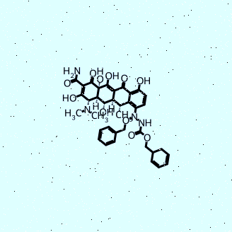 C[C@H]1c2c(N(NC(=O)OCC3C=CC=CC3)OCc3ccccc3)ccc(O)c2C(=O)C2=C(O)[C@]3(O)C(=O)C(C(N)=O)=C(O)[C@@H](N(C)C)[C@@H]3[C@@H](O)[C@@H]21